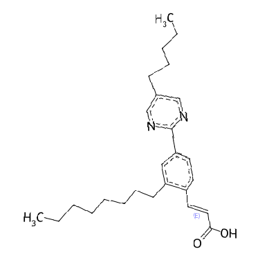 CCCCCCCCc1cc(-c2ncc(CCCCC)cn2)ccc1/C=C/C(=O)O